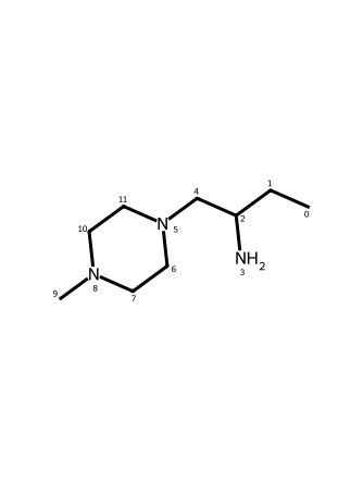 CCC(N)CN1CCN(C)CC1